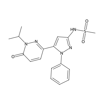 CC(C)n1nc(-c2cc(NS(C)(=O)=O)nn2-c2ccccc2)ccc1=O